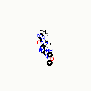 Cc1cnc(C(=O)Nc2cn3ncc(C#N)c(Nc4ccc(Oc5ccccc5)cc4)c3c2C)cn1